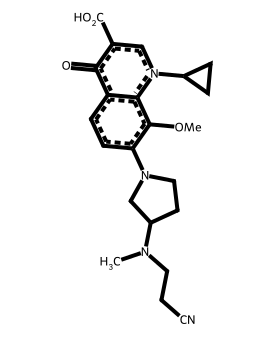 COc1c(N2CCC(N(C)CCC#N)C2)ccc2c(=O)c(C(=O)O)cn(C3CC3)c12